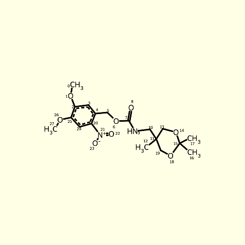 COc1cc(COC(=O)NCC2(C)COC(C)(C)OC2)c([N+](=O)[O-])cc1OC